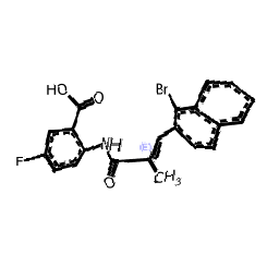 C/C(=C\c1ccc2ccccc2c1Br)C(=O)Nc1ccc(F)cc1C(=O)O